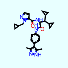 Cc1n[nH]c(C)c1-c1ccc(NC(=O)C(NC(=O)c2ccnn2CC2CC2)C(C2CC2)C2CC2)cc1